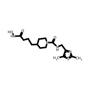 Cc1nc(CNC(=O)N2CCC(CCCC(=O)NO)CC2)c(C)s1